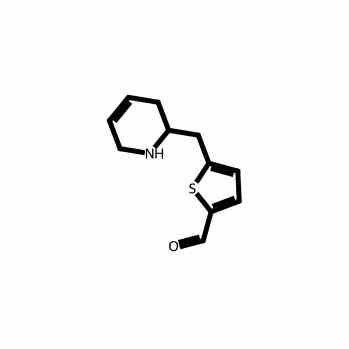 O=Cc1ccc(CC2CC=CCN2)s1